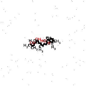 C=C(O)C(C)CCCC(C)(O)CCCC(C)CCCC(CO)OC1C(CC)C=CC(C)C1C